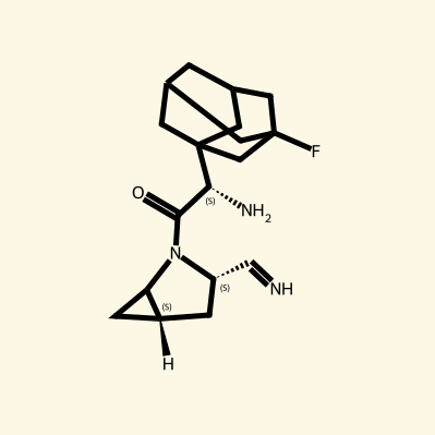 N=C[C@@H]1C[C@@H]2CC2N1C(=O)[C@@H](N)C12CC3CC(CC(F)(C3)C1)C2